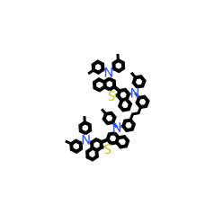 Cc1ccc(N(c2cccc(C)c2)c2cc3c4cc(N(c5ccc(C)cc5)c5cccc(CCc6cccc(N(c7cccc(C)c7)c7cc8c9cc(N(c%10cccc(C)c%10)c%10cccc(C)c%10)c%10ccccc%10c9sc8c8ccccc78)c6)c5)c5ccccc5c4sc3c3ccccc23)cc1